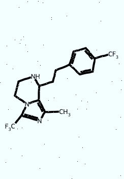 Cc1nc(C(F)(F)F)n2c1C(CCc1ccc(C(F)(F)F)cc1)NCC2